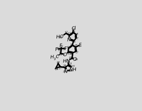 C[C@H](Oc1cc(-c2ccc(Cl)c(CO)n2)c(F)cc1C(=O)Nc1c[nH]nc1C1CC1)C(F)(F)F